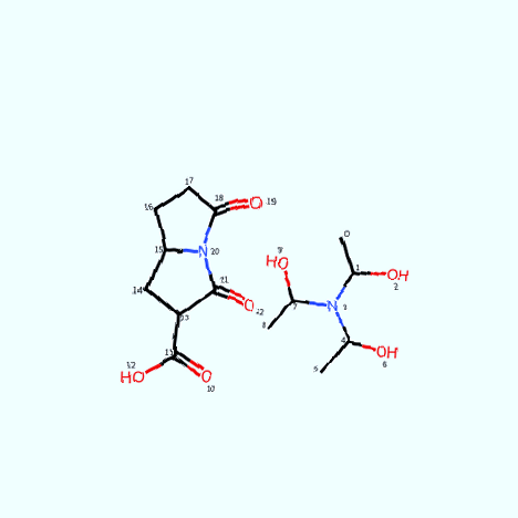 CC(O)N(C(C)O)C(C)O.O=C(O)C1CC2CCC(=O)N2C1=O